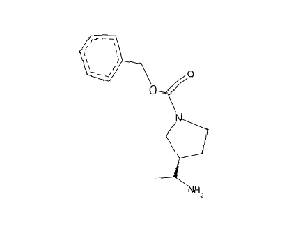 CC(N)[C@@H]1CCN(C(=O)OCc2ccccc2)C1